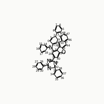 C1=CC(c2ccccc2)CC=C1N(c1ccccc1)c1cc(-c2nc(-c3ccccc3)nc(-c3ccccc3)n2)cc2oc3cc4ccccc4cc3c12